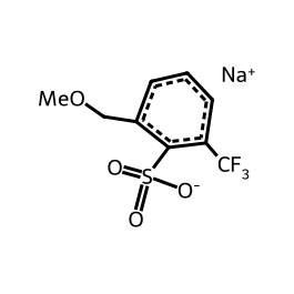 COCc1cccc(C(F)(F)F)c1S(=O)(=O)[O-].[Na+]